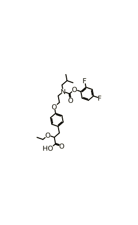 CCOC(Cc1ccc(OCCN(CC(C)C)C(=O)Oc2ccc(F)cc2F)cc1)C(=O)O